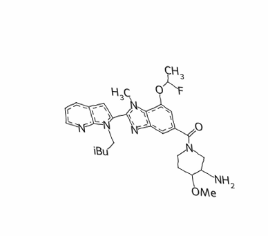 CCC(C)Cn1c(-c2nc3cc(C(=O)N4CCC(OC)C(N)C4)cc(OC(C)F)c3n2C)cc2cccnc21